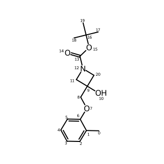 Cc1ccccc1OCC1(O)CN(C(=O)OC(C)(C)C)C1